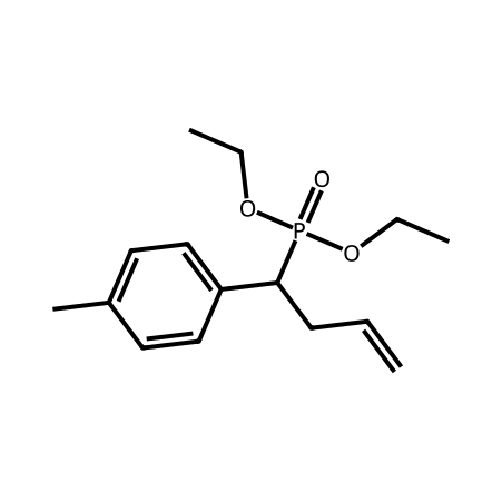 C=CCC(c1ccc(C)cc1)P(=O)(OCC)OCC